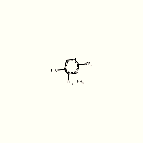 Cc1cnc(C(F)(F)F)nc1C.N